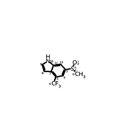 C[S+]([O-])c1cc(C(F)(F)F)c2cc[nH]c2c1